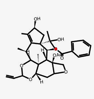 C=CC1O[C@H]2CC3OC[C@@]3(OC(C)=O)[C@H]3[C@H](OC(=O)c4ccccc4)[C@]4(C(C)(C)O)C[C@H](O)C(C)=C4[C@H](C)[C@H](O1)[C@]23C